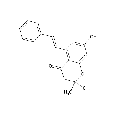 CC1(C)CC(=O)c2c(C=Cc3ccccc3)cc(O)cc2O1